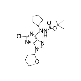 CC(C)(C)OC(=O)NN(c1nc(Cl)nc2c1ncn2C1CCCCO1)C1CCCC1